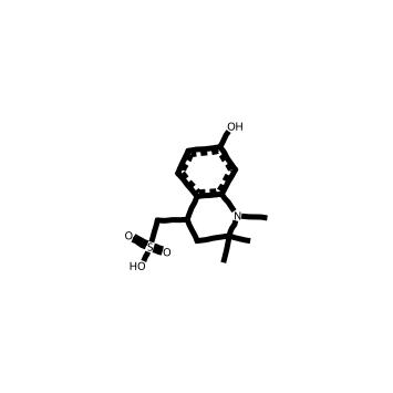 CN1c2cc(O)ccc2C(CS(=O)(=O)O)CC1(C)C